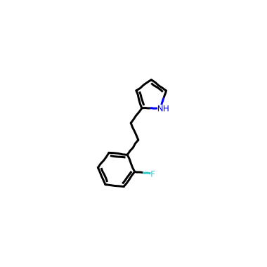 Fc1ccccc1CCc1ccc[nH]1